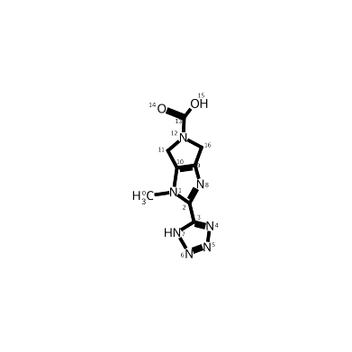 Cn1c(-c2nnn[nH]2)nc2c1CN(C(=O)O)C2